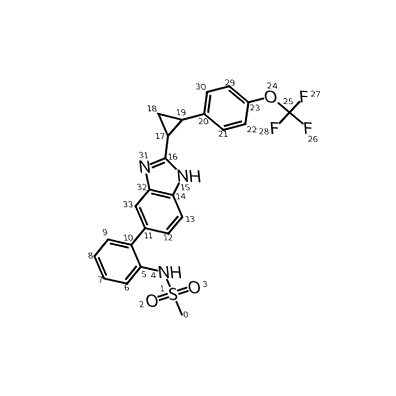 CS(=O)(=O)Nc1ccccc1-c1ccc2[nH]c(C3CC3c3ccc(OC(F)(F)F)cc3)nc2c1